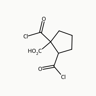 O=C(Cl)C1CCCC1(C(=O)O)C(=O)Cl